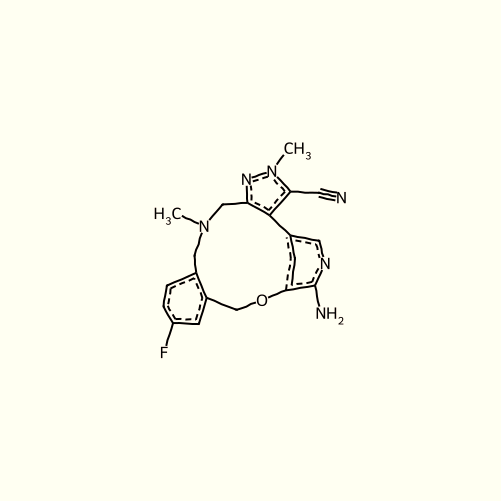 CN1Cc2ccc(F)cc2COc2cc(cnc2N)-c2c(nn(C)c2C#N)C1